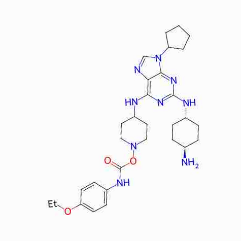 CCOc1ccc(NC(=O)ON2CCC(Nc3nc(N[C@H]4CC[C@H](N)CC4)nc4c3ncn4C3CCCC3)CC2)cc1